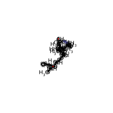 COc1cc2cc(c1Cl)N(C)C(=O)C[C@H](OC(=O)[C@H](C)N(C)C(=O)CC(C)(C)SC1CC(=O)N(CCOCCOCCNC(=O)CCC(=O)N(CCNC(=O)CCSC)CCNC(=O)CCSC3CCCCCCC3)C1=O)[C@](C)(N=O)C[C@H](C)CC[C@@](O)(NC(=O)N=O)[C@H](OC)/C=C/C=C(\C)C2